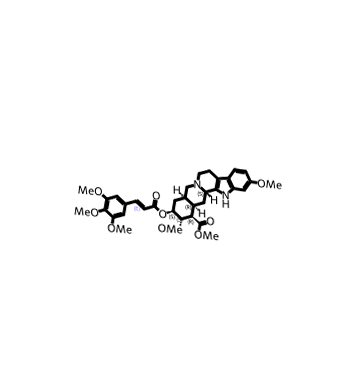 COC(=O)[C@@H]1[C@@H]2C[C@H]3c4[nH]c5cc(OC)ccc5c4CCN3C[C@@H]2C[C@H](OC(=O)/C=C/c2cc(OC)c(OC)c(OC)c2)[C@H]1OC